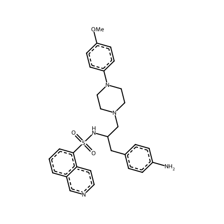 COc1ccc(N2CCN(CC(Cc3ccc(N)cc3)NS(=O)(=O)c3cccc4cnccc34)CC2)cc1